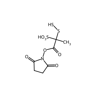 CC(SS)(C(=O)ON1C(=O)CCC1=O)S(=O)(=O)O